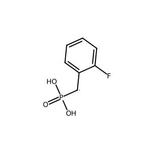 O=P(O)(O)[CH]c1ccccc1F